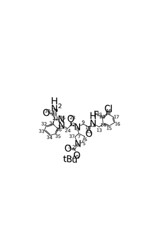 CC(C)(C)OC(=O)N1CCC(N(CC(=O)NCc2cccc(Cl)c2F)C(=O)Cn2nc(C(N)=O)c3ccccc32)C1